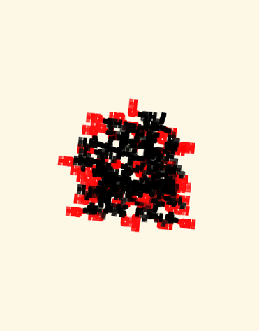 C[SiH](C)[Si](O)([SiH2]O)[Si](O[SiH2]O)(O[Si]([Si](O[Si](C)(C)O[Si](C)(C)C)(O[Si](O[Si](O[SiH2]O)([SiH2]O)[SiH2]O)([Si](O[SiH2]O)([SiH2]O)[SiH2]O)[Si](O[SiH2]O)([SiH2]O)[SiH2]O)[Si](O[Si](O[SiH2]O)([SiH2]O)[SiH2]O)([Si](O[SiH2]O)([SiH2]O)[SiH2]O)[Si](O[SiH2]O)([SiH2]O)[SiH2]O)([Si](O[Si](O[SiH2]O)([SiH2]O)[SiH2]O)([Si](O[SiH2]O)([SiH2]O)[SiH2]O)[Si](O[SiH2]O)([SiH2]O)[SiH2]O)[Si](O[Si](O[SiH2]O)([SiH2]O)[SiH2]O)([Si](O[SiH2]O)([SiH2]O)[SiH2]O)[Si](O[SiH2]O)([SiH2]O)[SiH2]O)[SiH2]O